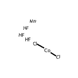 F.F.F.[Cl][Co][Cl].[Mn]